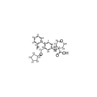 O=C(O)C1(Nc2ccc(-c3ccccc3F)c(COC3CCCC3)c2)CCOCC1